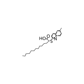 CCCCCCCCCCCCC(Sc1ccc2cc(C)ccc2n1)C(=O)O